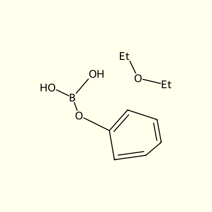 CCOCC.OB(O)Oc1ccccc1